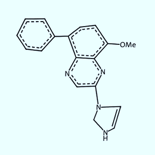 COc1ccc(-c2ccccc2)c2ncc(N3C=CNC3)nc12